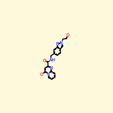 O=CCn1cc2ccc(CNC(=O)c3cc(=O)n4ccccc4n3)cc2n1